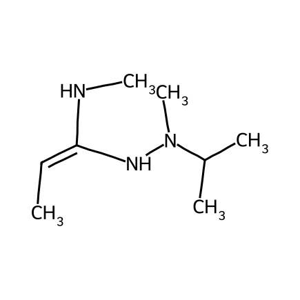 C/C=C(/NC)NN(C)C(C)C